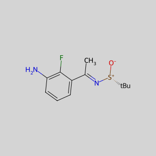 C/C(=N\[S@+]([O-])C(C)(C)C)c1cccc(N)c1F